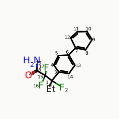 CCC(F)(c1ccc(-c2ccccc2)cc1)C(F)(F)C(N)=O